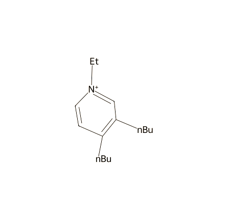 CCCCc1cc[n+](CC)cc1CCCC